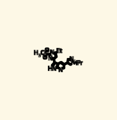 CCc1cc(-c2c[nH]c3ncc(C4C=NN(C(C)C)C4)cc23)nc(S(C)(=O)=O)n1